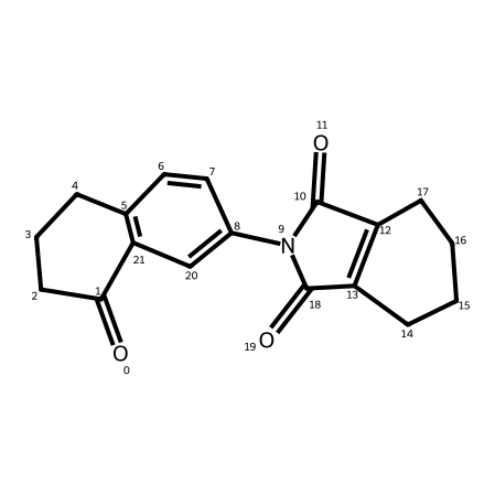 O=C1CCCc2ccc(N3C(=O)C4=C(CCCC4)C3=O)cc21